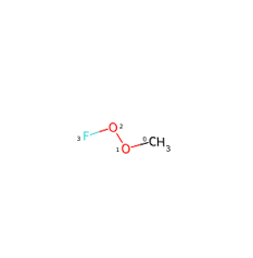 COOF